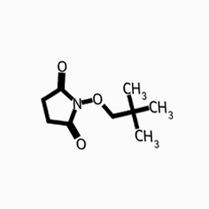 CC(C)(C)CON1C(=O)CCC1=O